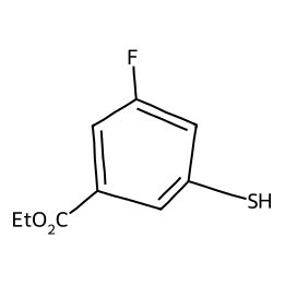 CCOC(=O)c1cc(F)cc(S)c1